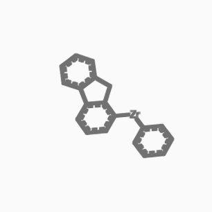 c1cc[c]([Zr][c]2cccc3c2Cc2ccccc2-3)cc1